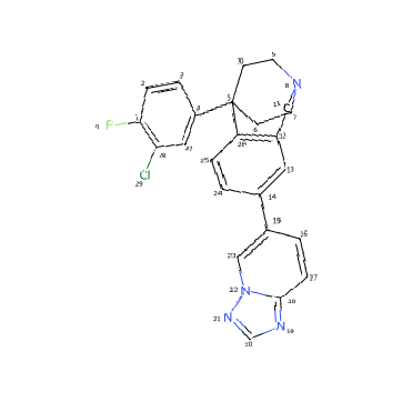 Fc1ccc(C23CCN(CC2)Cc2cc(-c4ccc5ncnn5c4)ccc23)cc1Cl